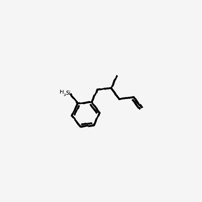 C=CCC(C)Cc1ccccc1[SiH3]